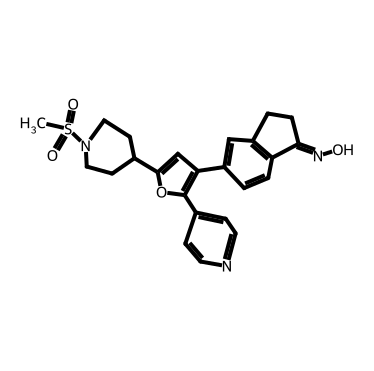 CS(=O)(=O)N1CCC(c2cc(-c3ccc4c(c3)CCC4=NO)c(-c3ccncc3)o2)CC1